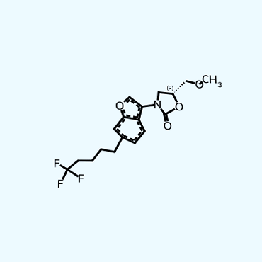 COC[C@H]1CN(c2coc3cc(CCCCC(F)(F)F)ccc23)C(=O)O1